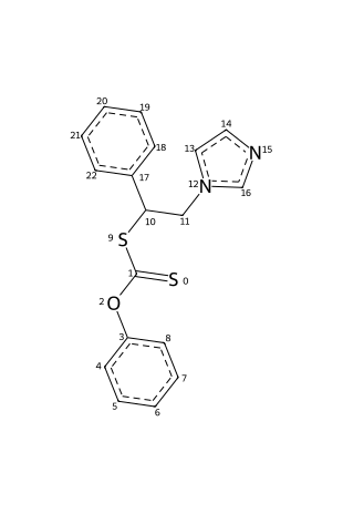 S=C(Oc1ccccc1)SC(Cn1ccnc1)c1ccccc1